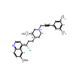 COc1ccc2nccc([C@H](F)CC[C@@H]3CCN(CC#Cc4cc(C(F)(F)F)cc(C(F)(F)F)c4)C[C@@H]3C(=O)O)c2c1